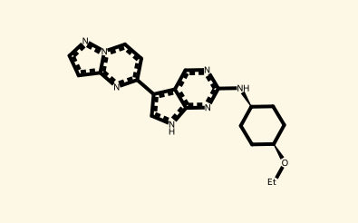 CCO[C@H]1CC[C@@H](Nc2ncc3c(-c4ccn5nccc5n4)c[nH]c3n2)CC1